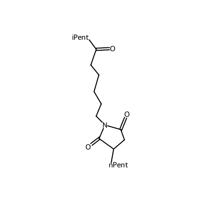 CCCCCC1CC(=O)N(CCCCCC(=O)C(C)CCC)C1=O